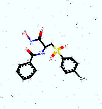 COc1ccc(S(=O)(=O)CC(NC(=O)c2ccccc2)C(=O)NO)cc1